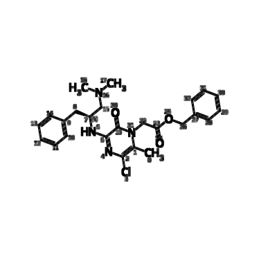 Cc1c(Cl)nc(N[C@@H](Cc2ccccc2)CN(C)C)c(=O)n1CC(=O)OCc1ccccc1